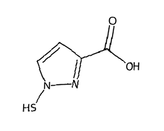 O=C(O)c1ccn(S)n1